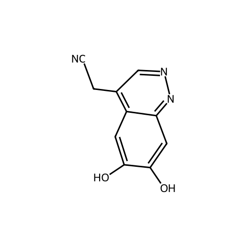 N#CCc1cnnc2cc(O)c(O)cc12